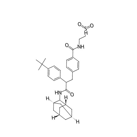 CC(C)(C)c1ccc(C(Cc2ccc(C(=O)NCC[SH](=O)=O)cc2)C(=O)NC2[C@H]3C[C@@H]4C[C@@H](C[C@H]2C4)C3)cc1